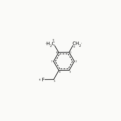 [CH2]c1ccc(CF)cc1[CH2]